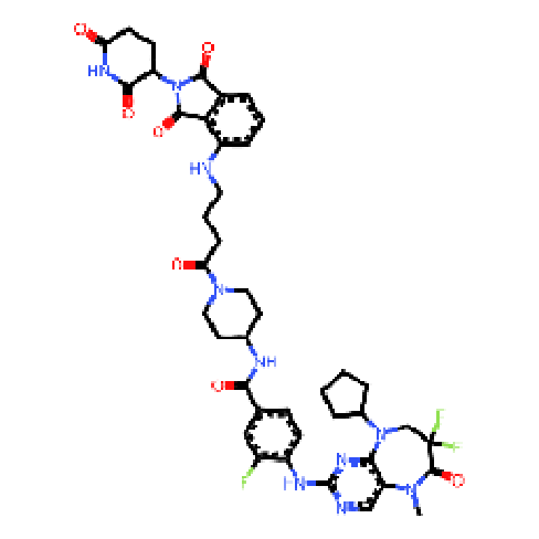 CN1C(=O)C(F)(F)CN(C2CCCC2)c2nc(Nc3ccc(C(=O)NC4CCN(C(=O)CCCNc5cccc6c5C(=O)N(C5CCC(=O)NC5=O)C6=O)CC4)cc3F)ncc21